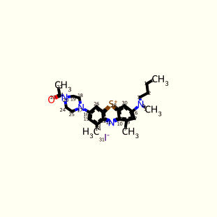 CCCCN(C)c1cc(C)c2nc3c(C)cc(N4CCN(C(C)=O)CC4)cc3[s+]c2c1.[I-]